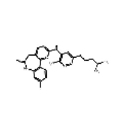 CN(C)CCCc1cnc(C(F)(F)F)c(Nc2ncc3c(n2)-c2ccc(C(F)(F)F)cc2NC(=O)C3)c1